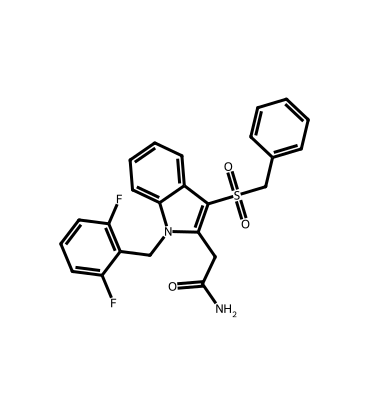 NC(=O)Cc1c(S(=O)(=O)Cc2ccccc2)c2ccccc2n1Cc1c(F)cccc1F